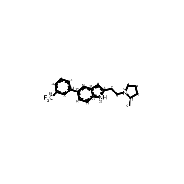 C[C@@H]1CCCN1CCc1cc2cc(-c3cccc(C(F)(F)F)c3)ccc2[nH]1